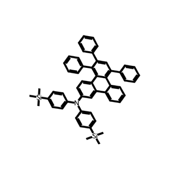 C[Si](C)(C)c1ccc(N(c2ccc([Si](C)(C)C)cc2)c2ccc3c(c2)c2ccccc2c2c(-c4ccccc4)cc(-c4ccccc4)c(-c4ccccc4)c32)cc1